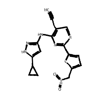 C#Cc1cnc(-c2ccc(C[SH](=O)=O)s2)nc1Nc1cc(C2CC2)[nH]n1